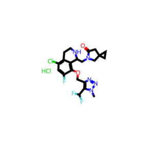 Cl.Cn1nnc(COc2c(F)cc(Cl)c3c2C(CN2CC4(CC4)CC2=O)NCC3)c1C(F)F